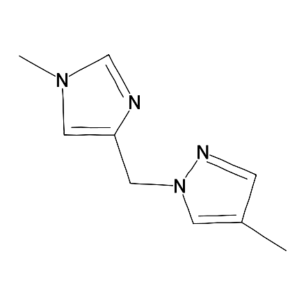 Cc1cnn(Cc2cn(C)cn2)c1